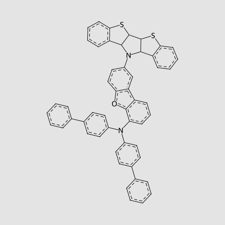 c1ccc(-c2ccc(N(c3ccc(-c4ccccc4)cc3)c3cccc4c3oc3ccc(N5C6c7ccccc7SC6C6Sc7ccccc7C65)cc34)cc2)cc1